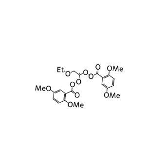 [CH2]COC[C](OOC(=O)c1cc(OC)ccc1OC)OOC(=O)c1cc(OC)ccc1OC